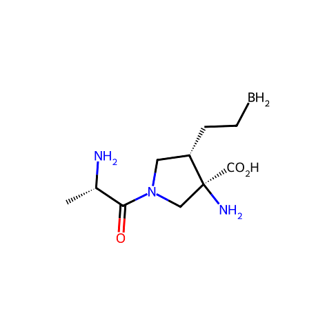 BCC[C@H]1CN(C(=O)[C@H](C)N)C[C@@]1(N)C(=O)O